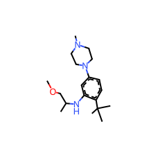 COCC(C)Nc1cc(N2CCN(C)CC2)ccc1C(C)(C)C